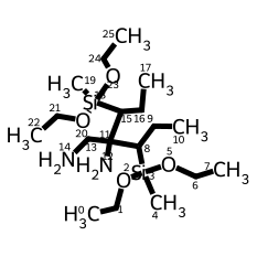 CCO[Si](C)(OCC)C(CC)C(N)(CN)C(CC)[Si](C)(OCC)OCC